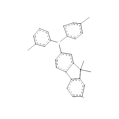 Cc1ccc(N(c2cccc(C)c2)c2ccc3c(c2)C(C)(C)c2cc(O)ccc2-3)cc1